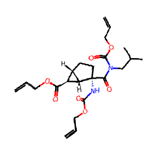 C=CCOC(=O)N[C@@]1(C(=O)N(CC(C)C)C(=O)OCC=C)CC[C@H]2[C@H](C(=O)OCC=C)[C@H]21